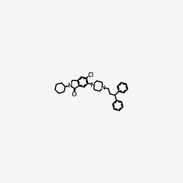 O=C1c2cc(N3CCN(CCC(c4ccccc4)c4ccccc4)CC3)c(Cl)cc2CN1C1CCCCC1